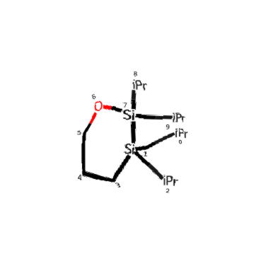 CC(C)[Si]1(C(C)C)CCCO[Si]1(C(C)C)C(C)C